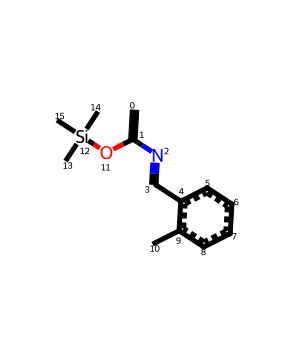 C=C(N=Cc1ccccc1C)O[Si](C)(C)C